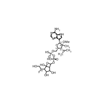 CO[C@@]1(C)[C@H](c2c[nH]c3c(N)ncnc23)O[C@H](COP(=O)(S)OP(=O)(O)OC2OC3(O)C2C(O)C(O)C3[C@@H](F)CO)[C@H]1N(C)C